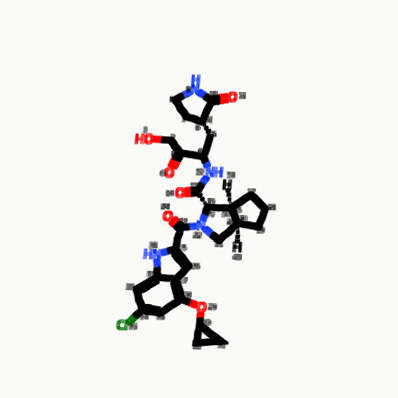 O=C(CO)C(C[C@@H]1CCNC1=O)NC(=O)[C@@H]1[C@H]2CCC[C@H]2CN1C(=O)c1cc2c(OC3CC3)cc(Cl)cc2[nH]1